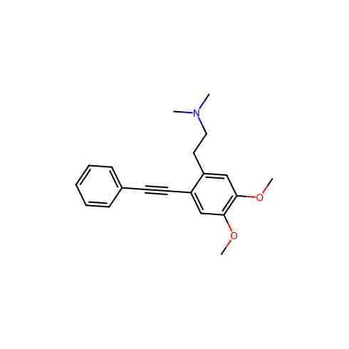 COc1cc(C#Cc2ccccc2)c(CCN(C)C)cc1OC